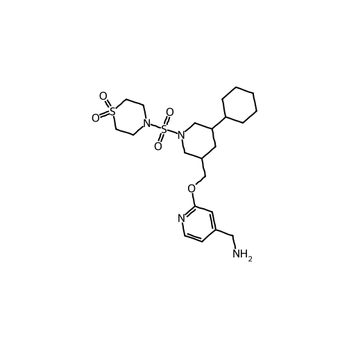 NCc1ccnc(OCC2CC(C3CCCCC3)CN(S(=O)(=O)N3CCS(=O)(=O)CC3)C2)c1